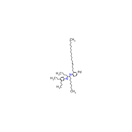 CCCCCCCCCCCCC/C=C/CCCc1ccccc1/N=C(CCCCCCCC)/C(CCCC)=N/c1ccc(CCC)c(CCC)c1.[Pd]